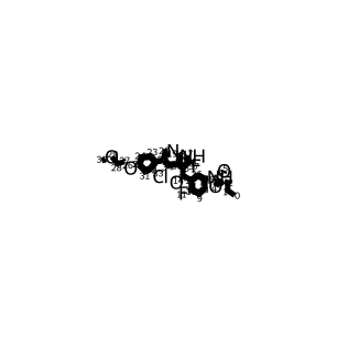 CCCS(=O)(=O)Nc1ccc(F)c(C(=O)c2c[nH]c3ncc(-c4ccc(OCCOC)cc4Cl)cc23)c1F